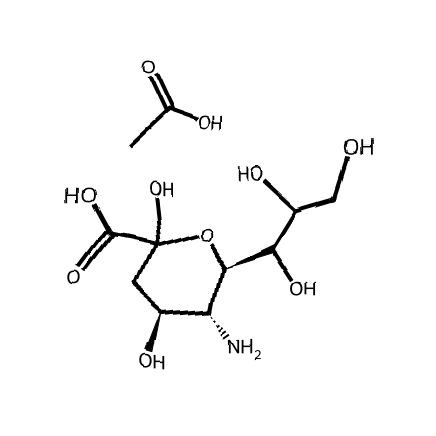 CC(=O)O.N[C@@H]1[C@@H](O)CC(O)(C(=O)O)O[C@H]1C(O)C(O)CO